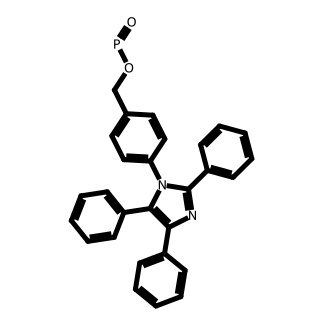 O=POCc1ccc(-n2c(-c3ccccc3)nc(-c3ccccc3)c2-c2ccccc2)cc1